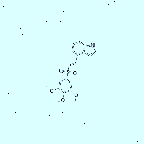 COc1cc(S(=O)(=O)C=Cc2cccc3[nH]ccc23)cc(OC)c1OC